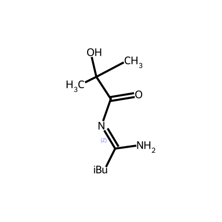 CCC(C)/C(N)=N/C(=O)C(C)(C)O